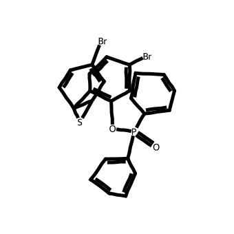 O=P(Oc1cc(Br)ccc1C12C=CC(Br)=CC1S2)(c1ccccc1)c1ccccc1